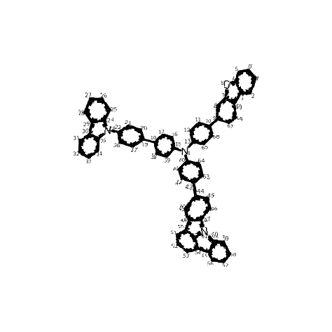 c1ccc2c(c1)oc1cc(-c3ccc(N(c4ccc(-c5ccc(-n6c7ccccc7c7ccccc76)cc5)cc4)c4ccc(-c5ccc6c(c5)c5cccc7c8ccccc8n6c75)cc4)cc3)ccc12